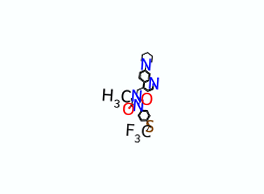 CC1C(=O)N(c2ccc(SC(F)(F)F)cc2)C(=O)N1Cc1ccnc2cc(N3CCCCC3)ccc12